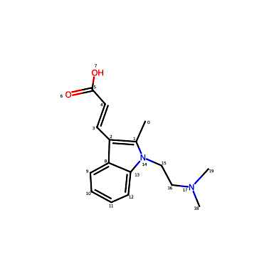 Cc1c(C=CC(=O)O)c2ccccc2n1CCN(C)C